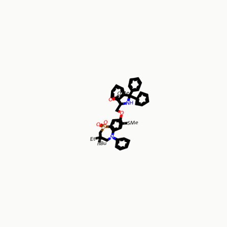 CCCCC1(CC)CN(c2ccccc2)c2cc(SC)c(OCC(NC(c3ccccc3)(c3ccccc3)c3ccccc3)C(=O)OC)cc2S(=O)(=O)C1